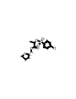 CC(OS(=O)(=O)c1ccc(Cl)cc1)C(=O)OC[C@@H]1CCCO1